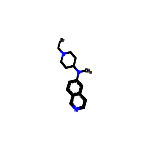 CC(C)CN1CCC(N(C)c2ccc3cnccc3c2)CC1